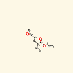 C=CCOC(=O)C(=CCC1CO1)CC